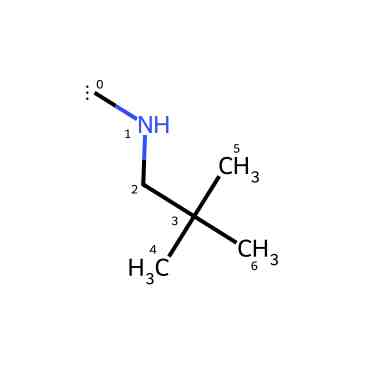 [C]NCC(C)(C)C